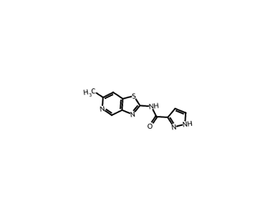 Cc1cc2sc(NC(=O)c3cc[nH]n3)nc2cn1